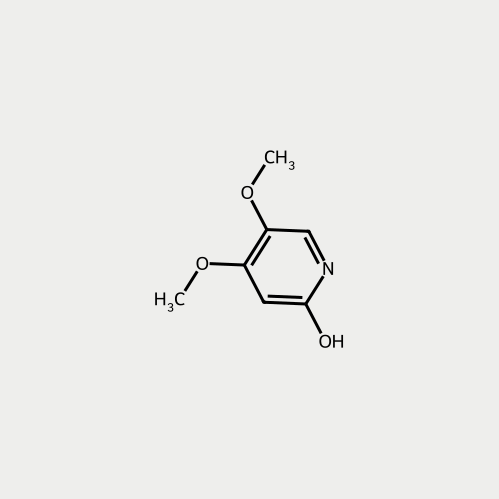 COc1cnc(O)cc1OC